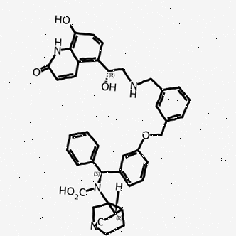 O=C(O)N([C@@H](c1ccccc1)c1cccc(OCc2cccc(CNC[C@H](O)c3ccc(O)c4[nH]c(=O)ccc34)c2)c1)[C@H]1CN2CCC1CC2